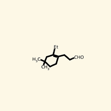 CCC1=C(CCC=O)CCC(C)(C)C1